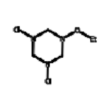 CCON1CN(Cl)CN(Cl)C1